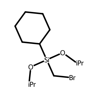 CC(C)O[Si](CBr)(OC(C)C)C1CCCCC1